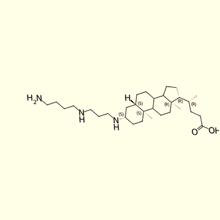 C[C@H](CCC(=O)O)[C@H]1CCC2C3CC[C@H]4C[C@@H](NCCCNCCCCN)CC[C@]4(C)C3CC[C@@]21C